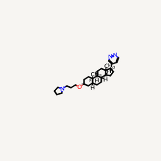 C[C@]12CC[C@H](OCCCN3CCCC3)C[C@H]1CC[C@H]1[C@H]3CC[C@H](c4ccnnc4)[C@@]3(C)CC[C@@H]12